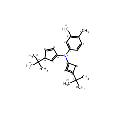 Cc1ccc(N(C2=C=C(C(C)(C)C)C2)C2=CC(C(C)(C)C)C=C2)cc1C